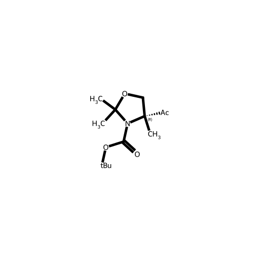 CC(=O)[C@@]1(C)COC(C)(C)N1C(=O)OC(C)(C)C